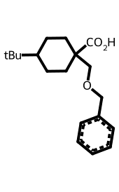 CC(C)(C)C1CCC(COCc2ccccc2)(C(=O)O)CC1